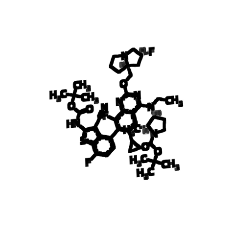 CCN(c1nc(OC[C@@]23CCCN2C[C@H](F)C3)nc2c(F)c(-c3ccc(F)c4sc(NC(=O)OC(C)(C)C)c(C#N)c34)c(C3CC3)cc12)[C@@H]1CCN(C(=O)OC(C)(C)C)[C@@H]1C